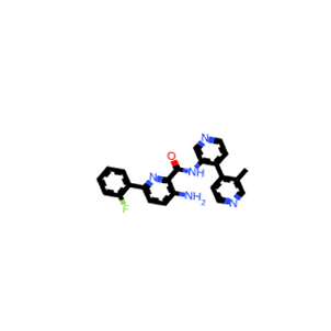 Cc1cnccc1-c1ccncc1NC(=O)c1nc(-c2ccccc2F)ccc1N